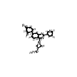 CCCOC1CN(c2nc(-c3cccnc3)nc3cc(-c4ccc(F)cc4F)ccc23)C1